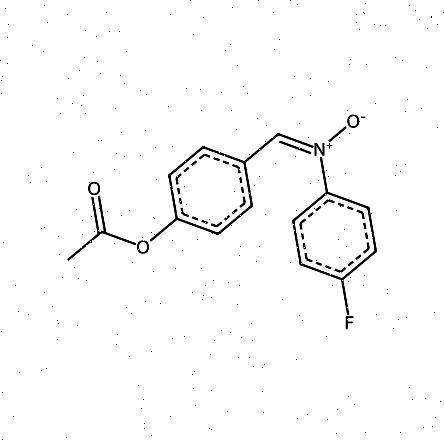 CC(=O)Oc1ccc(/C=[N+](/[O-])c2ccc(F)cc2)cc1